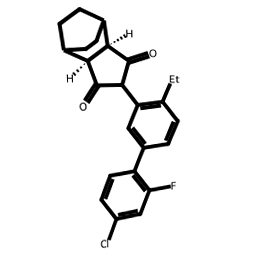 CCc1ccc(-c2ccc(Cl)cc2F)cc1C1C(=O)[C@@H]2C3CCC(CC3)[C@@H]2C1=O